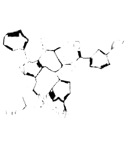 CCN1C(=O)[C@@H](NC(=O)c2cccc(C(F)(F)F)c2)[C@@H](c2ccc(F)cc2)c2c([C@@H](CCO)N[S@@+]([O-])C(C)(C)C)nn(-c3ccccc3)c21